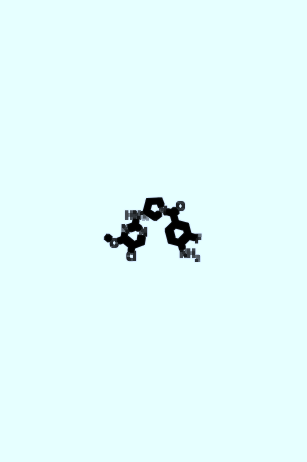 COc1nc(N[C@@H]2CCN(C(=O)c3ccc(N)c(F)c3)C2)ncc1Cl